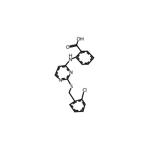 O=C(O)c1ccccc1Nc1ccnc(SCc2ccccc2Cl)n1